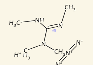 C/N=C(\NC)N(C)C.[H+].[N-]=[N+]=[N-]